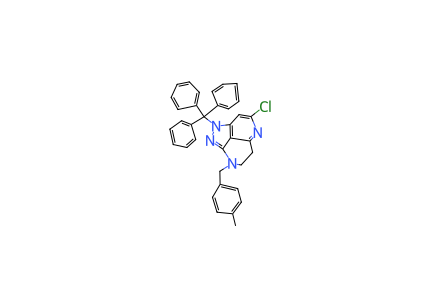 Cc1ccc(CN2CCc3nc(Cl)cc4c3c2nn4C(c2ccccc2)(c2ccccc2)c2ccccc2)cc1